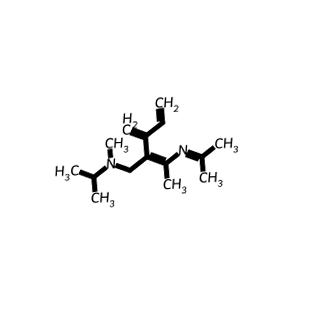 C=CC(=C)/C(CN(C)C(C)C)=C(/C)N=C(C)C